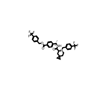 C[C@H](NC(=O)C1CC2(CCN1Cc1ccc(C(F)(F)F)cc1)CC2)c1ccc(C(=O)OCc2ccc(C(F)(F)F)cc2)cc1